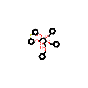 O=C[C@H](O)[C@@H](OCc1ccccc1)[C@H](OCc1ccccc1)[C@H](O)COCc1ccccc1.c1ccc(Sc2ccccc2)cc1